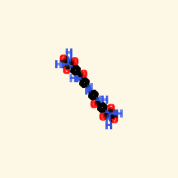 O=C(Nc1ccc(/N=N/c2ccc(NC(=O)c3ccc(-n4c(=O)[nH]c(=O)[nH]c4=O)cc3)cc2)cc1)c1ccc(-n2c(=O)[nH]c(=O)[nH]c2=O)cc1